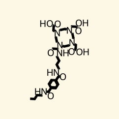 CCCCNC(=O)c1ccc(C(=O)NCCCCNC(C=O)N2CCN(CC(=O)O)CCN(CC(=O)O)CCN(CC(=O)O)CC2)cc1